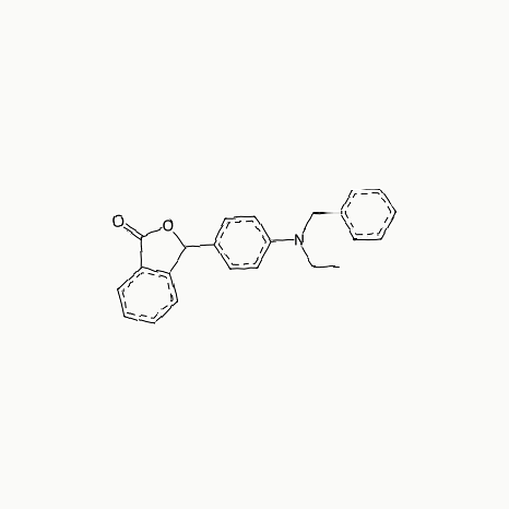 CCN(Cc1ccccc1)c1ccc(C2OC(=O)c3ccccc32)cc1